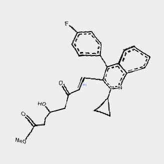 COC(=O)CC(O)CC(=O)/C=C/c1c(C2CC2)nc2ccccc2c1-c1ccc(F)cc1